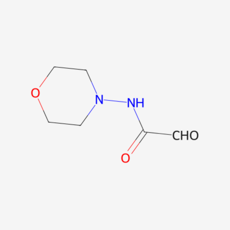 O=CC(=O)NN1CCOCC1